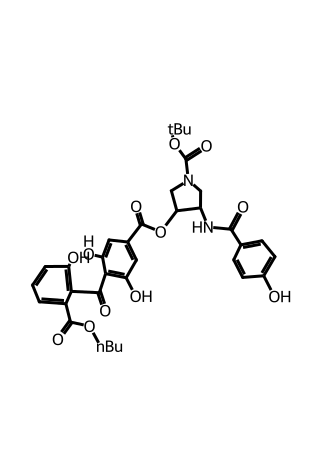 CCCCOC(=O)c1cccc(O)c1C(=O)c1c(O)cc(C(=O)OC2CN(C(=O)OC(C)(C)C)CC2NC(=O)c2ccc(O)cc2)cc1O